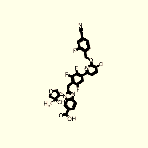 CC1(C)COC[C@H]1n1c(Cc2c(F)cc(-c3ccc(Cl)c(OCc4ccc(C#N)cc4F)n3)c(F)c2F)nc2ccc(C(=O)O)cc21